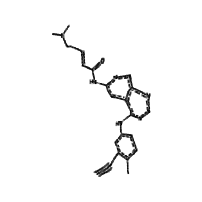 C#Cc1cc(Nc2ncnc3cnc(NC(=O)/C=C/CN(C)C)cc23)ccc1C